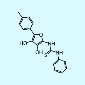 Cc1ccc(-c2oc(NC(=S)Nc3ccccc3)c(O)c2O)cc1